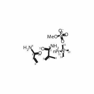 C=C(C)C(N)=O.C=CC(N)=O.CCC[N+](C)(C)C.COS(=O)(=O)[O-]